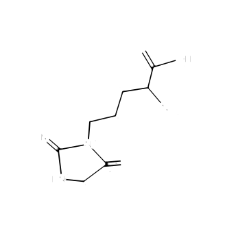 N=C1NCC(=O)N1CCCC(N)C(=O)O